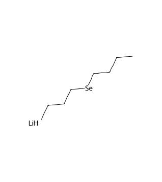 CCCC[Se]CCCC.[LiH]